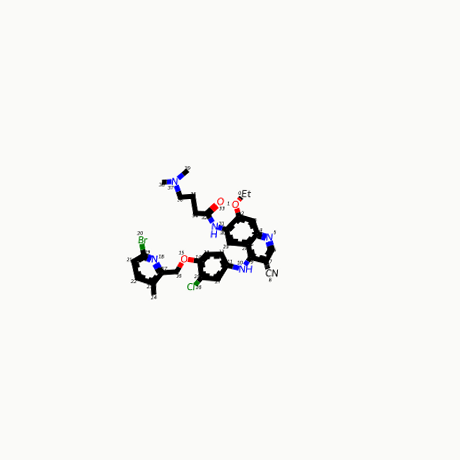 CCOc1cc2ncc(C#N)c(Nc3ccc(OCc4nc(Br)ccc4C)c(Cl)c3)c2cc1NC(=O)CCCN(C)C